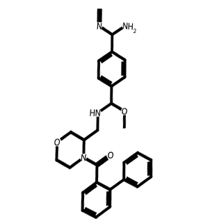 C=NC(N)c1ccc(C(NCC2COCCN2C(=O)c2ccccc2-c2ccccc2)OC)cc1